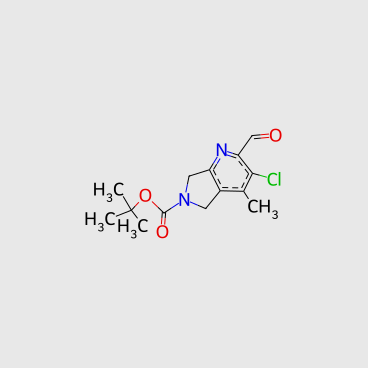 Cc1c(Cl)c(C=O)nc2c1CN(C(=O)OC(C)(C)C)C2